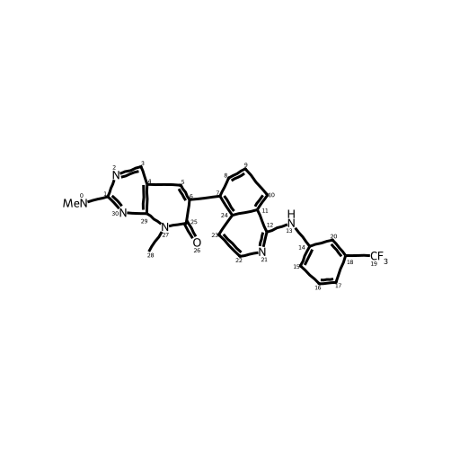 CNc1ncc2cc(-c3cccc4c(Nc5cccc(C(F)(F)F)c5)nccc34)c(=O)n(C)c2n1